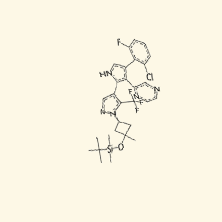 CC1(O[Si](C)(C)C(C)(C)C)CC(n2ncc(-c3[nH]cc(-c4c(F)cccc4Cl)c3-c3cnccn3)c2C(F)(F)F)C1